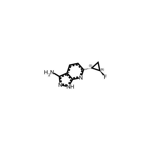 Nc1n[nH]c2nc([C@@H]3C[C@H]3F)ccc12